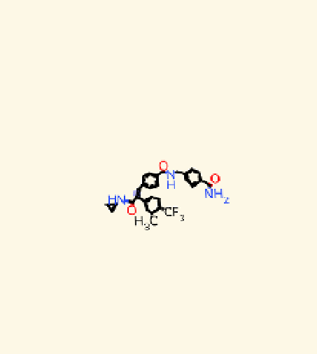 CC1CC(/C(=C\c2ccc(C(=O)NCc3ccc(C(N)=O)cc3)cc2)C(=O)NC2CC2)=CC=C1C(F)(F)F